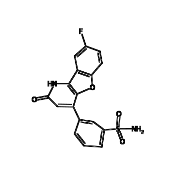 NS(=O)(=O)c1cccc(-c2cc(=O)[nH]c3c2oc2ccc(F)cc23)c1